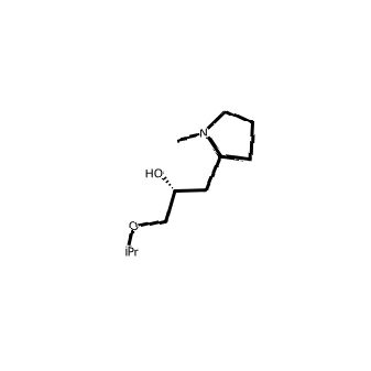 CC(C)OC[C@H](O)CC1CCCN1C